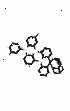 Cc1ccc2c(c1)B1c3cccc4c3N(c3ccccc3C43C4CC5CC(C4)CC3C5)c3cccc(c31)N2c1cccc(C(C)C)c1